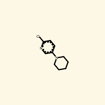 Clc1ccc(N2CC[CH]CC2)cn1